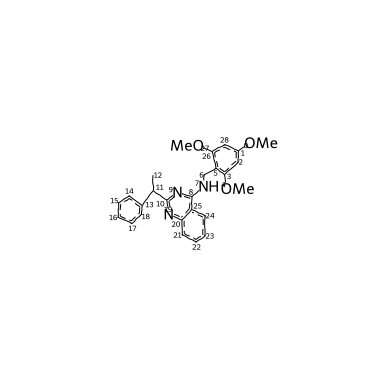 COc1cc(OC)c(CNc2nc(C(C)c3ccccc3)nc3ccccc23)c(OC)c1